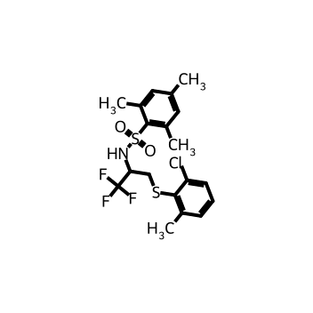 Cc1cc(C)c(S(=O)(=O)NC(CSc2c(C)cccc2Cl)C(F)(F)F)c(C)c1